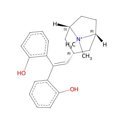 C[N+]1(C)[C@@H]2CC[C@H]1C[C@@H](C=C(c1ccccc1O)c1ccccc1O)C2